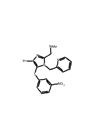 CNCc1nc(C(C)C)c(Sc2cccc([N+](=O)[O-])c2)n1Cc1ccccn1